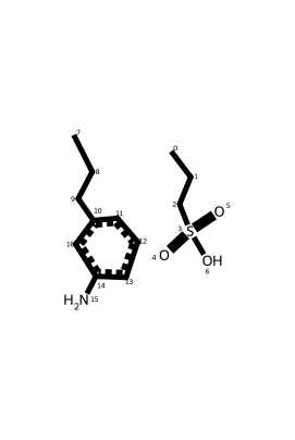 CCCS(=O)(=O)O.CCCc1cccc(N)c1